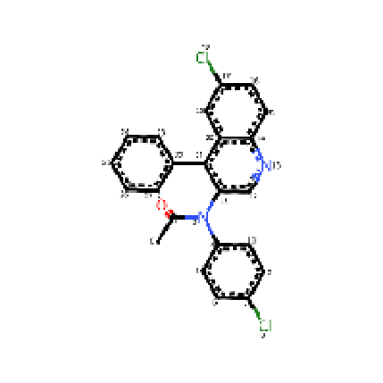 CC(=O)N(c1ccc(Cl)cc1)c1cnc2ccc(Cl)cc2c1-c1ccccc1